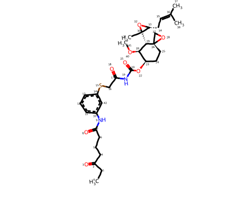 CCC(=O)CCCC(=O)Nc1cccc(SCC(=O)NC(=O)O[C@@H]2CC[C@]3(CO3)[C@@H](C3(C)O[C@@H]3CC=C(C)C)[C@@H]2OC)c1